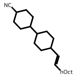 CCCCCCCC/C=C/C1CCC(C2CCC(C#N)CC2)CC1